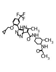 CCC(=O)N[C@@H]1CC[C@H](NC(=O)c2c(C)[nH]c3c(-c4cc(C(F)(F)F)ccc4OCC4CC4)ncnc23)C[C@H]1C